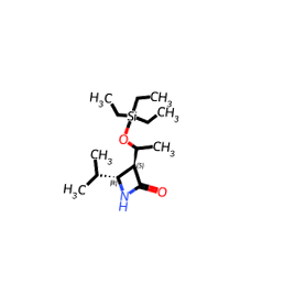 CC[Si](CC)(CC)OC(C)[C@H]1C(=O)N[C@@H]1C(C)C